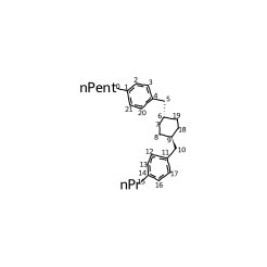 CCCCCc1ccc(C[C@H]2CC[C@H](Cc3ccc(CCC)cc3)CC2)cc1